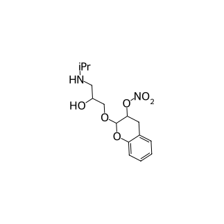 CC(C)NCC(O)COC1Oc2ccccc2CC1O[N+](=O)[O-]